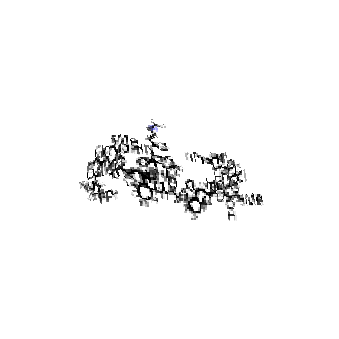 C/C=C\CCC(=O)NC1C(=O)N2C1SC(C)(C)C2C(O)OC(COc1cccc2oc(C(=O)OC3C(O)C(SC)OC(C(NC(=O)C4CC(CCC)CN4C)C(C)Cl)C3O)cc(=O)c12)COc1cccc2oc(C(=O)OC3C(O)C(SC)OC(C(NC(=O)C4CC(CCC)CN4C)C(C)Cl)C3O)cc(=O)c12